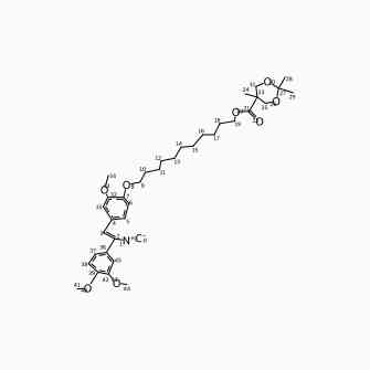 [C-]#[N+]/C(=C\c1ccc(OCCCCCCCCCCCOC(=O)C2(C)COC(C)(C)OC2)c(OC)c1)c1ccc(OC)c(OC)c1